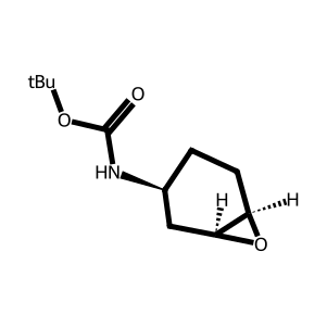 CC(C)(C)OC(=O)N[C@H]1CC[C@H]2O[C@H]2C1